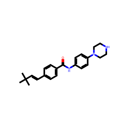 CC(C)(C)/C=C/c1ccc(C(=O)Nc2ccc(N3CCNCC3)cc2)cc1